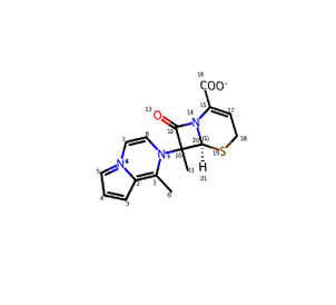 Cc1c2ccc[n+]-2ccn1C1(C)C(=O)N2C(C(=O)[O-])=CCS[C@H]21